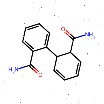 NC(=O)c1ccccc1C1C=CC=CC1C(N)=O